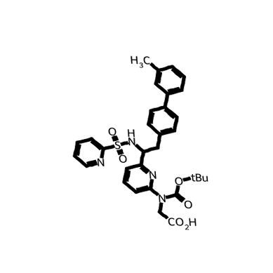 Cc1cccc(-c2ccc(CC(NS(=O)(=O)c3ccccn3)c3cccc(N(CC(=O)O)C(=O)OC(C)(C)C)n3)cc2)c1